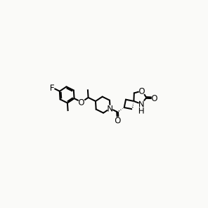 Cc1cc(F)ccc1OC(C)C1CCN(C(=O)[C@H]2C[C@@]3(COC(=O)N3)C2)CC1